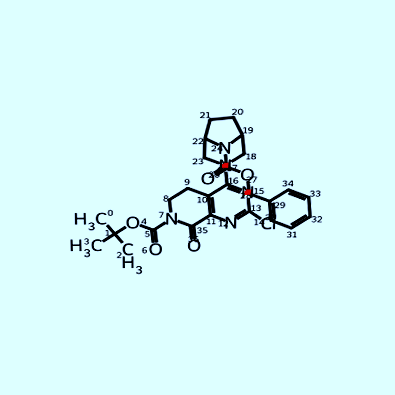 CC(C)(C)OC(=O)N1CCc2c(nc(Cl)nc2N2CC3CCC(C2)N3C(=O)OCc2ccccc2)C1=O